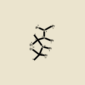 CCC(C)(B(B(C(C)C)C(C)C)C(C)C)B(C(C)C)C(C)(CC)C(C)C